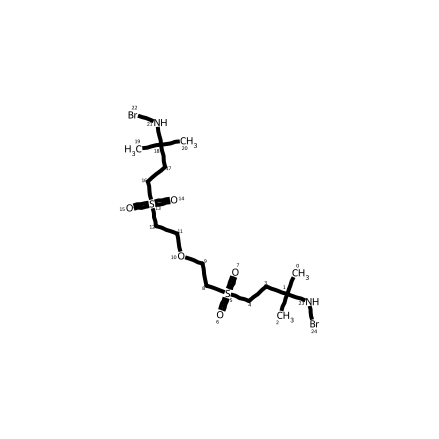 CC(C)(CCS(=O)(=O)CCOCCS(=O)(=O)CCC(C)(C)NBr)NBr